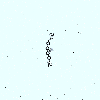 C=CC(=O)OCCCc1ccc(-c2ccc3c(c2)C(C)(CC)c2cc(-c4ccc(COC(=O)C=C)cc4)ccc2-3)cc1